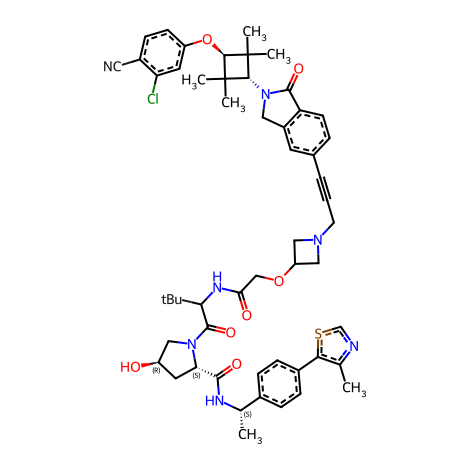 Cc1ncsc1-c1ccc([C@H](C)NC(=O)[C@@H]2C[C@@H](O)CN2C(=O)C(NC(=O)COC2CN(CC#Cc3ccc4c(c3)CN([C@H]3C(C)(C)[C@H](Oc5ccc(C#N)c(Cl)c5)C3(C)C)C4=O)C2)C(C)(C)C)cc1